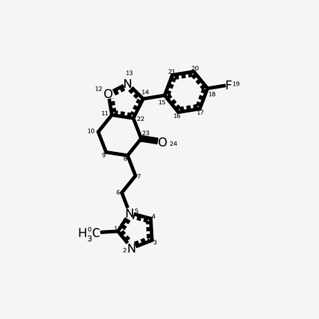 Cc1nccn1CCC1CCc2onc(-c3ccc(F)cc3)c2C1=O